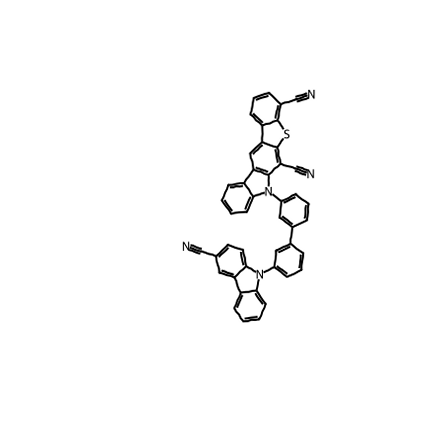 N#Cc1ccc2c(c1)c1ccccc1n2-c1cccc(-c2cccc(-n3c4ccccc4c4cc5c(sc6c(C#N)cccc65)c(C#N)c43)c2)c1